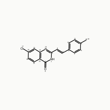 O=c1[nH]c(/C=C/c2ccc(F)cc2)nc2cc(Cl)ccc12